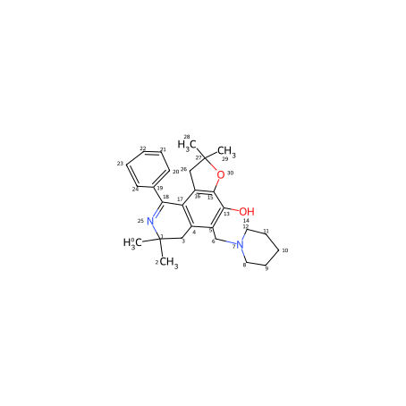 CC1(C)Cc2c(CN3CCCCC3)c(O)c3c(c2C(c2ccccc2)=N1)CC(C)(C)O3